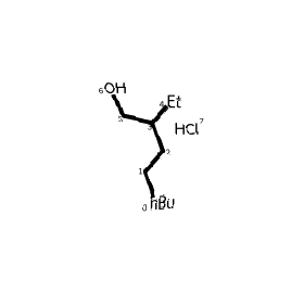 CCCCCCC(CC)CO.Cl